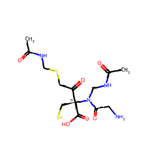 CC(=O)NCSCC(=O)[C@@](CS)(C(=O)O)N(CNC(C)=O)C(=O)CN